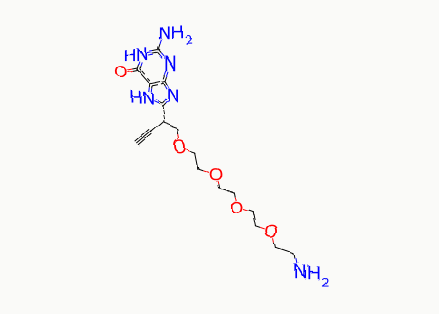 C#CC(COCCOCCOCCOCCN)c1nc2nc(N)[nH]c(=O)c2[nH]1